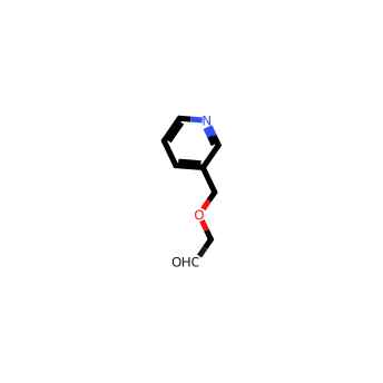 O=CCOCc1cccnc1